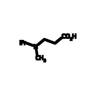 CC(C)N(C)CCC(=O)O